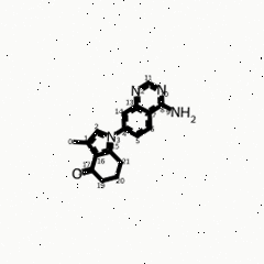 Cc1cn(-c2ccc3c(N)ncnc3c2)c2c1C(=O)CCC2